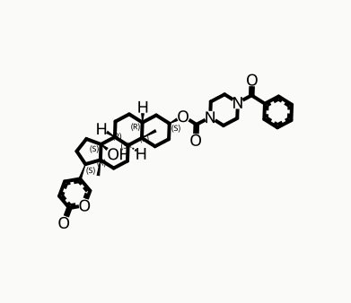 C[C@]12CC[C@H](OC(=O)N3CCN(C(=O)c4ccccc4)CC3)C[C@H]1CC[C@@H]1[C@@H]2CC[C@]2(C)[C@@H](c3ccc(=O)oc3)CC[C@]12O